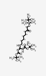 CC(C)(C)OC(=O)N=C(NCCCCCCC(=O)[CH]O[Si](C)(C)C(C)(C)C)NC(=O)OC(C)(C)C